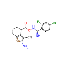 N#Cc1c(N)sc2c1C(C(=O)ONC(=N)c1ccc(Br)cc1F)CCC2